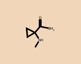 BC(=O)C1(NC)CC1